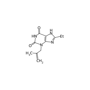 C=C(C)Cn1c(=O)[nH]c(=O)c2[nH]c(CC)nc21